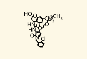 COCCOCCOc1ccn(Cc2ccccc2Cl)c(=O)c1NC(=O)N[C@@H](CC(=O)O)c1ccc(C)cc1